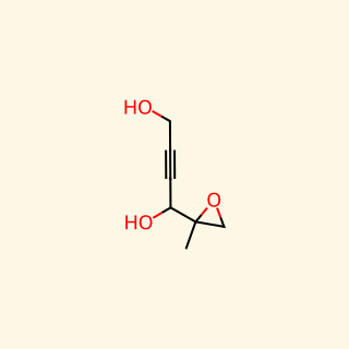 CC1(C(O)C#CCO)CO1